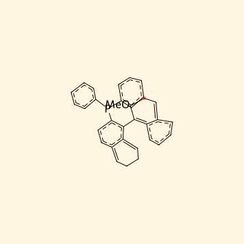 COC1CC=c2ccccc2=C1c1c(P(c2ccccc2)c2ccccc2)ccc2c1=CCCC=2